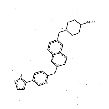 CC(=O)NC1CCN(Cc2ccc3cc(Oc4ccc(-c5ccn[nH]5)cn4)ccc3c2)CC1